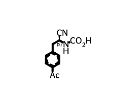 CC(=O)c1ccc(C[C@@H](C#N)NC(=O)O)cc1